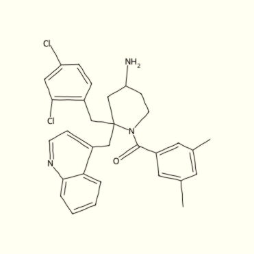 Cc1cc(C)cc(C(=O)N2CCC(N)CC2(Cc2ccc(Cl)cc2Cl)Cc2ccnc3ccccc23)c1